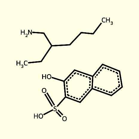 CCCCC(CC)CN.O=S(=O)(O)c1cc2ccccc2cc1O